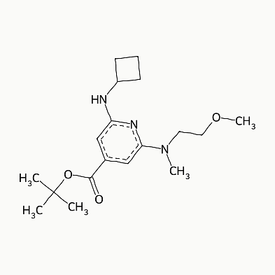 COCCN(C)c1cc(C(=O)OC(C)(C)C)cc(NC2CCC2)n1